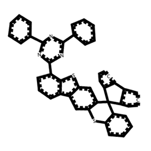 c1ccc(-c2nc(-c3ccccc3)nc(-c3cccc4c3sc3cc5c(cc34)Sc3ccccc3C53c4ccccc4-c4ccccc43)n2)cc1